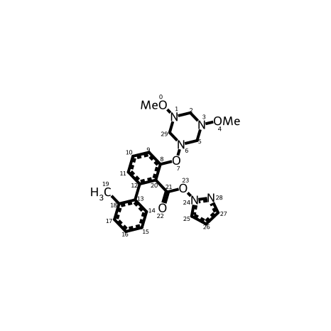 CON1CN(OC)CN(Oc2cccc(-c3ccccc3C)c2C(=O)On2cccn2)C1